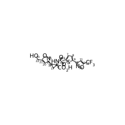 O=C(O)[C@@]1(NS(=O)(=O)c2ccc(-c3cc(C(F)(F)F)on3)s2)C[C@H]1c1cc(CO)on1